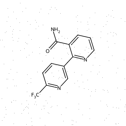 NC(=O)c1cccnc1-c1ccc(C(F)(F)F)nc1